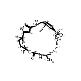 CC1CCCNS(=O)(=O)c2ccc(c(F)c2)Nc2cc([nH]n2)[C@H]2CC[C@H](C2)OC(=O)N1